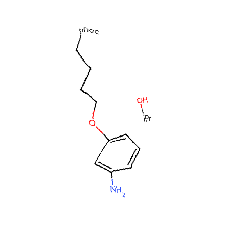 CC(C)O.CCCCCCCCCCCCCCOc1cccc(N)c1